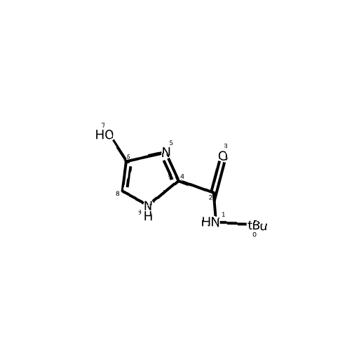 CC(C)(C)NC(=O)c1nc(O)c[nH]1